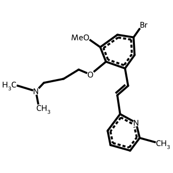 COc1cc(Br)cc(C=Cc2cccc(C)n2)c1OCCCN(C)C